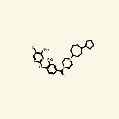 CNc1nc(Nc2ccc(C(=O)N3CCN(C4CCCC(C5CCCC5)CC4)CC3)cc2OC)ncc1Cl